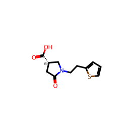 O=C(O)[C@H]1CC(=O)N(CCc2cccs2)C1